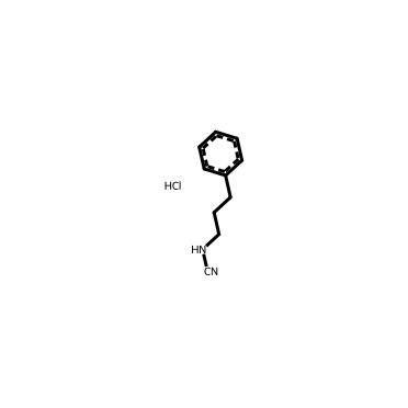 Cl.N#CNCCCc1ccccc1